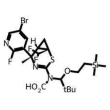 CC(C)(C)C(OCC[Si](C)(C)C)N(C(=O)O)C1=N[C@](C)(c2cc(Br)cnc2F)[C@@H]2C[C@]2(C(F)F)S1